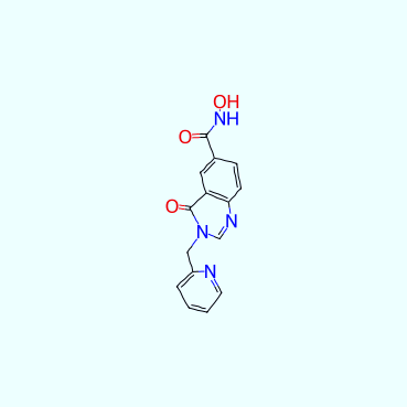 O=C(NO)c1ccc2ncn(Cc3ccccn3)c(=O)c2c1